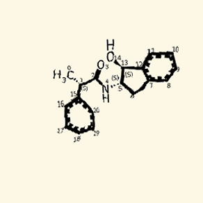 C[C@H](C(=O)N[C@H]1Cc2ccccc2[C@@H]1O)c1ccccc1